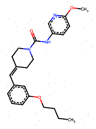 CCCCOc1cccc(C=C2CCN(C(=O)Nc3ccc(OC)nc3)CC2)c1